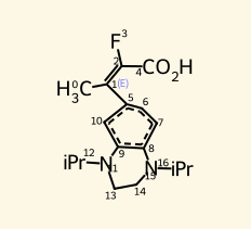 C/C(=C(\F)C(=O)O)c1ccc2c(c1)N(C(C)C)CCN2C(C)C